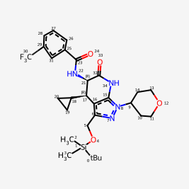 CC(C)(C)[Si](C)(C)OCc1nn(C2CCOCC2)c2c1[C@@H](C1CC1)[C@@H](NC(=O)c1cccc(C(F)(F)F)c1)C(=O)N2